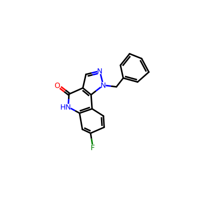 O=c1[nH]c2cc(F)ccc2c2c1cnn2Cc1ccccc1